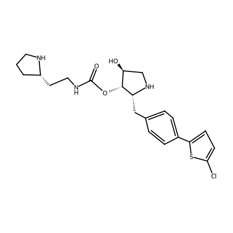 O=C(NCC[C@@H]1CCCN1)O[C@@H]1[C@@H](O)CN[C@@H]1Cc1ccc(-c2ccc(Cl)s2)cc1